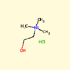 C[N+](C)(C)CCO.Cl